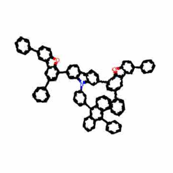 c1ccc(-c2ccc3oc4c(-c5ccc6c7ccc(-c8cc(-c9ccccc9)cc9c8oc8ccc(-c%10ccccc%10)cc89)cc7n(-c7cccc(-c8c9ccccc9c(-c9ccccc9)c9ccccc89)c7)c6c5)cc(-c5ccccc5)cc4c3c2)cc1